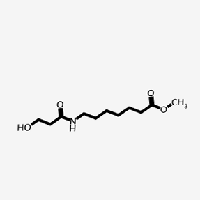 COC(=O)CCCCCCNC(=O)CCO